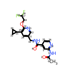 CC(=O)Nc1cc(C(=O)NCc2cnc(OCC(F)F)c(C3CC3)c2)ccn1